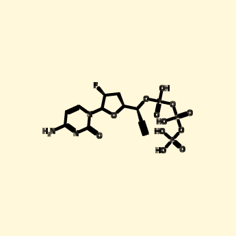 C#C[C@H](OP(=O)(O)OP(=O)(O)OP(=O)(O)O)[C@@H]1C[C@H](F)C(n2ccc(N)nc2=O)O1